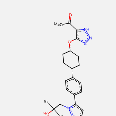 CCCC(O)(CC)Cn1nccc1-c1ccc([C@H]2CC[C@H](Oc3nn[nH]c3C(=O)OC)CC2)cc1